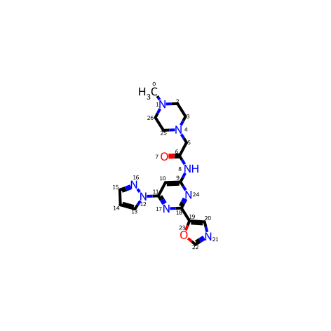 CN1CCN(CC(=O)Nc2cc(-n3cccn3)nc(-c3cnco3)n2)CC1